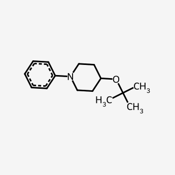 CC(C)(C)OC1CCN(c2ccccc2)CC1